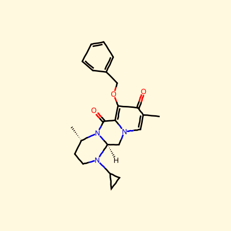 Cc1cn2c(c(OCc3ccccc3)c1=O)C(=O)N1[C@@H](C)CCN(C3CC3)[C@@H]1C2